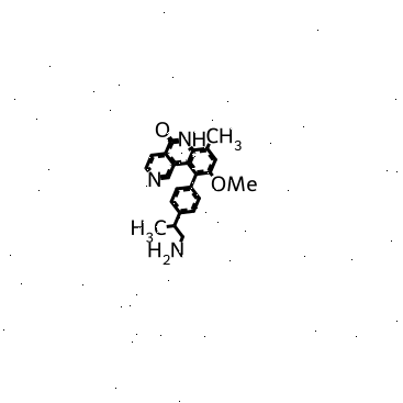 COc1cc(C)c2[nH]c(=O)c3ccncc3c2c1-c1ccc(C(C)CN)cc1